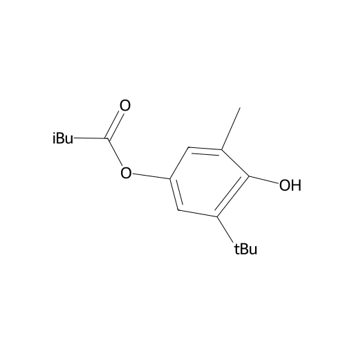 CCC(C)C(=O)Oc1cc(C)c(O)c(C(C)(C)C)c1